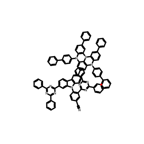 N#Cc1ccc(-n2c3ccc(-c4cc5c6c(c4)N(c4ccc(-c7ccccc7)cc4)c4ccc(-c7ccccc7)cc4B6c4cc(-c6ccccc6)ccc4N5c4ccc(-c5ccccc5)cc4)cc3c3ccc(-c4nc(-c5ccccc5)nc(-c5ccccc5)n4)cc32)c(-c2nc(-c3ccccc3)nc(-c3ccccc3)n2)c1